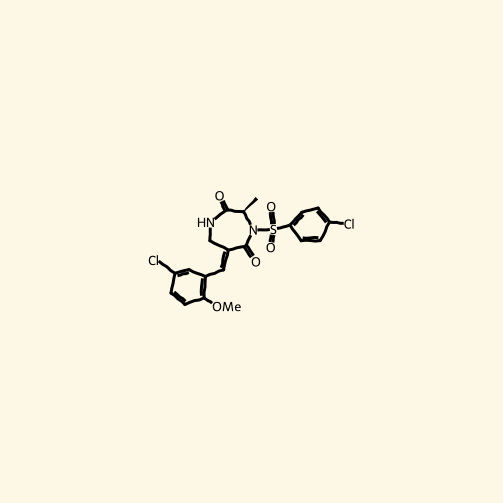 COc1ccc(Cl)cc1C=C1CNC(=O)[C@@H](C)N(S(=O)(=O)c2ccc(Cl)cc2)C1=O